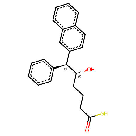 O=C(S)CCC[C@@H](O)[C@@H](c1ccccc1)c1ccc2ccccc2c1